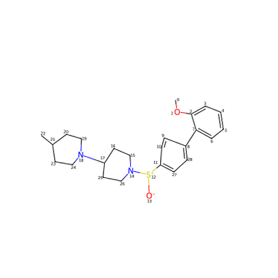 COc1ccccc1-c1ccc([S+]([O-])N2CCC(N3CCC(C)CC3)CC2)cc1